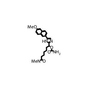 CNC(=O)CCCCCC(OC(N)=O)c1ncc(-c2ccc3cc(OC)ccc3c2)[nH]1